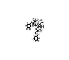 CCOC(=O)[C@H](Cc1ccccc1)NC1CC(=O)NC1CC(=O)OCc1ccccc1